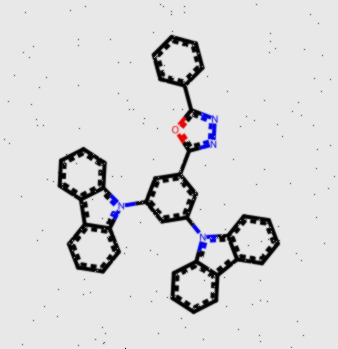 c1ccc(-c2nnc(-c3cc(-n4c5ccccc5c5ccccc54)cc(-n4c5ccccc5c5ccccc54)c3)o2)cc1